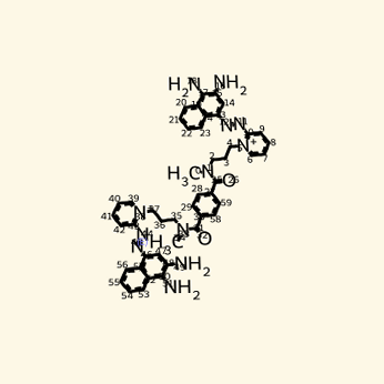 CN(CCC[n+]1ccccc1N=Nc1cc(N)c(N)c2ccccc12)C(=O)c1ccc(C(=O)N(C)CCC[n+]2ccccc2/N=N/c2cc(N)c(N)c3ccccc23)cc1